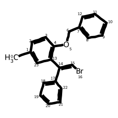 Cc1ccc(OCc2ccccc2)c(C(=CBr)c2ccccc2)c1